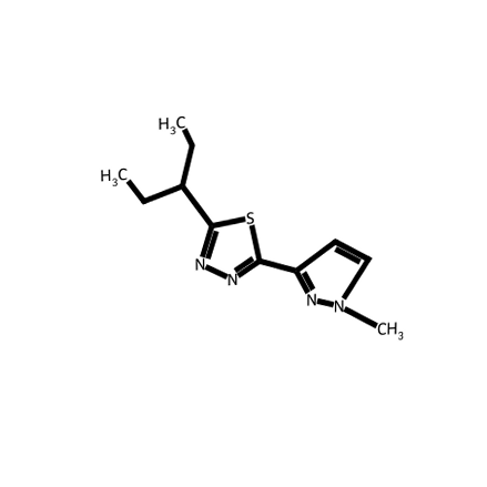 CCC(CC)c1nnc(-c2ccn(C)n2)s1